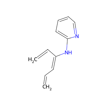 C=C/C=C(\C=C)Nc1ccccn1